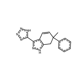 CC1(c2ccccc2)C=Cc2c(-c3nnn[nH]3)n[nH]c2C1